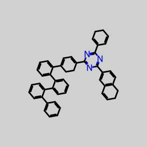 C1=CC(c2nc(C3=CC=C(c4ccccc4-c4ccccc4-c4ccccc4-c4ccccc4)CC3)nc(-c3ccc4c(c3)C=CCC4)n2)=CCC1